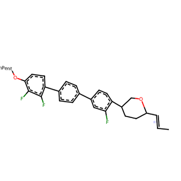 C/C=C/C1CCC(c2ccc(-c3ccc(-c4ccc(OCCCCC)c(F)c4F)cc3)cc2F)CO1